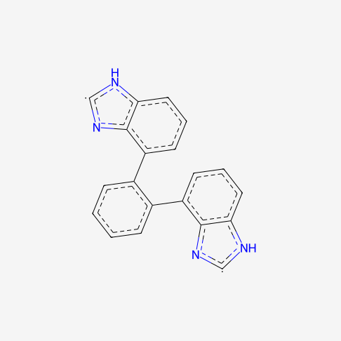 [c]1nc2c(-c3ccccc3-c3cccc4[nH][c]nc34)cccc2[nH]1